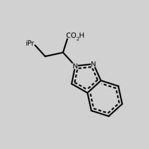 CC(C)CC(C(=O)O)n1cc2ccccc2n1